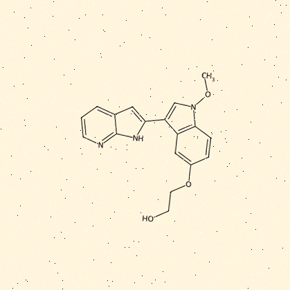 COn1cc(-c2cc3cccnc3[nH]2)c2cc(OCCO)ccc21